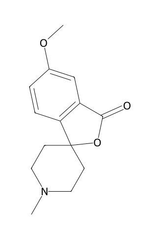 COc1ccc2c(c1)C(=O)OC21CCN(C)CC1